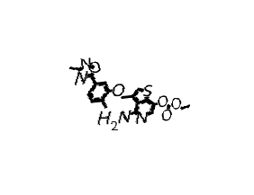 CCOC(=O)Oc1cnc(N)c2c(COc3cc(-c4nc(C)no4)ccc3C)csc12